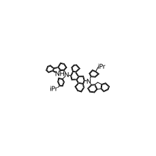 CC(C)c1ccc(N(c2cccc3c2Cc2ccccc2-3)c2cc3c4ccccc4c(N(c4ccc(C(C)C)cc4)c4cccc5c4[nH]c4ccccc45)cc3c3ccccc23)cc1